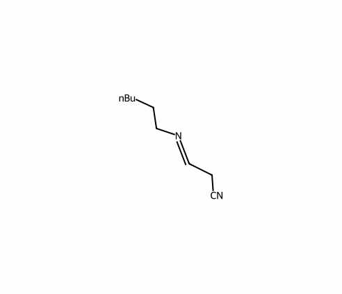 CCCCCCN=CCC#N